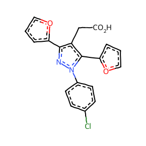 O=C(O)Cc1c(-c2ccco2)nn(-c2ccc(Cl)cc2)c1-c1ccco1